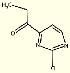 CCC(=O)c1ccnc(Cl)n1